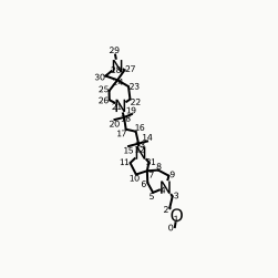 COCCN1CCC2(CC1)CCN(C(C)(C)CCC(C)(C)N1CCC3(CC1)CN(C)C3)C2